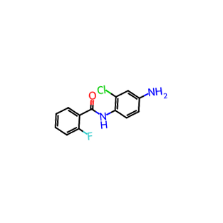 Nc1ccc(NC(=O)c2ccccc2F)c(Cl)c1